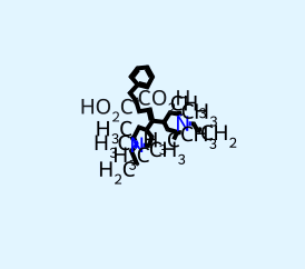 C=CCN1C(C)(C)CC(C(=CCC(Cc2ccccc2)(C(=O)O)C(=O)O)C2CC(C)(C)N(CC=C)C(C)(C)C2)CC1(C)C